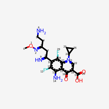 CON=C(CCN)CC(=N)c1c(F)c(N)c2c(=O)c(C(=O)O)cn(C3CC3)c2c1F